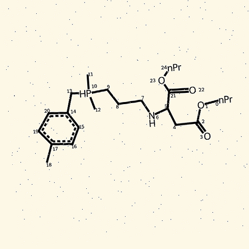 CCCOC(=O)CC(NCCC[PH](C)(C)Cc1ccc(C)cc1)C(=O)OCCC